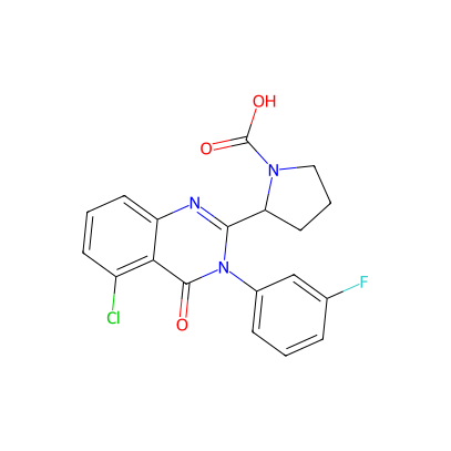 O=C(O)N1CCCC1c1nc2cccc(Cl)c2c(=O)n1-c1cccc(F)c1